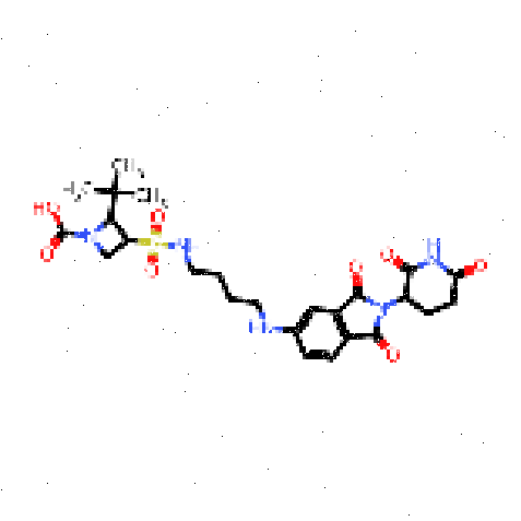 CC(C)(C)C1C(S(=O)(=O)NCCCCNc2ccc3c(c2)C(=O)N(C2CCC(=O)NC2=O)C3=O)CN1C(=O)O